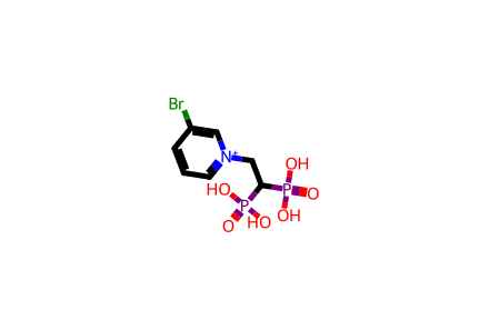 O=P(O)(O)C(C[n+]1cccc(Br)c1)P(=O)(O)O